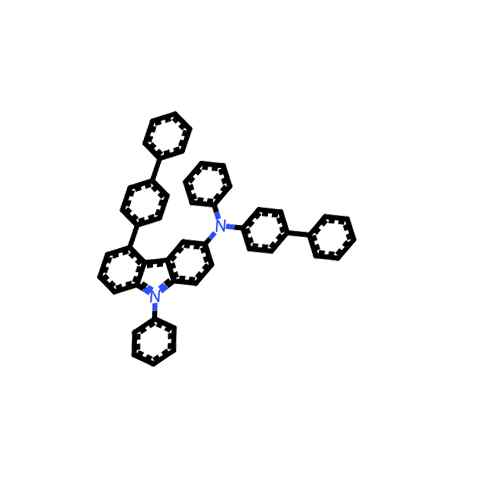 c1ccc(-c2ccc(-c3cccc4c3c3cc(N(c5ccccc5)c5ccc(-c6ccccc6)cc5)ccc3n4-c3ccccc3)cc2)cc1